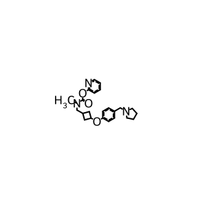 CN(CC1CC(Oc2ccc(CN3CCCC3)cc2)C1)C(=O)Oc1ccccn1